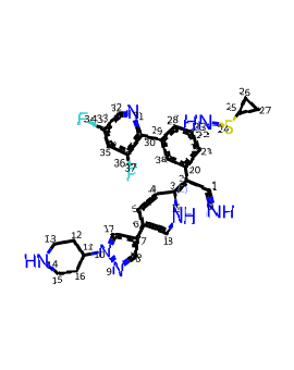 N=C/C(=C1/C=CC(c2cnn(C3CCNCC3)c2)=CN1)c1cc(NSC2CC2)cc(-c2ncc(F)cc2F)c1